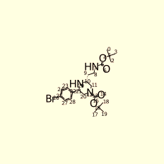 CC(C)(C)OC(=O)NCC[C@@H]1CN(C(=O)OC(C)(C)C)C[C@@H](c2ccc(Br)cc2)N1